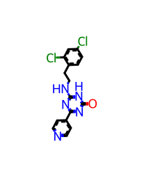 O=c1nc(-c2ccncc2)nc(NCCc2ccc(Cl)cc2Cl)[nH]1